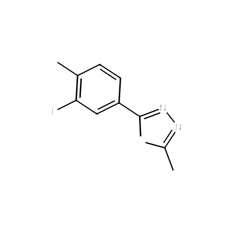 Cc1nnc(-c2ccc(C)c(F)c2)o1